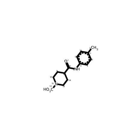 Cc1ccc(NC(=O)C2CCN(C(=O)O)CC2)cc1